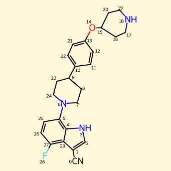 N#Cc1c[nH]c2c(N3CCC(c4ccc(OC5CCNCC5)cc4)CC3)ccc(F)c12